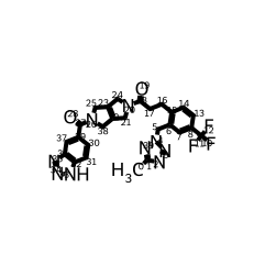 Cc1nnn(Cc2cc(C(F)(F)F)ccc2CCC(=O)N2CC3=C(C2)CN(C(=O)c2ccc4[nH]nnc4c2)C3)n1